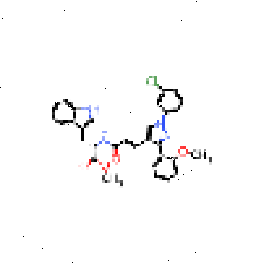 COC(=O)[C@H](Cc1c[nH]c2ccccc12)NC(=O)/C=C/c1cn(-c2cccc(Cl)c2)nc1-c1ccccc1OC